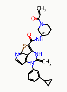 C=CC(=O)N1CCC[C@@H](NC(=O)c2sc3nccc4c3c2[nH]c(=C)n4-c2cccc(C3CC3)c2)C1